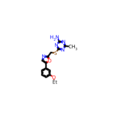 CCOc1cccc(-c2cnc(CSc3nc(C)nc(N)n3)o2)c1